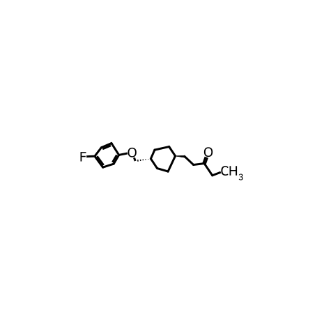 CCC(=O)CC[C@H]1CC[C@H](COc2ccc(F)cc2)CC1